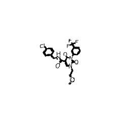 COCCn1cc(C(=O)NCc2ccc(Cl)cc2)c(=O)n(-c2cccc(C(F)(F)F)c2)c1=O